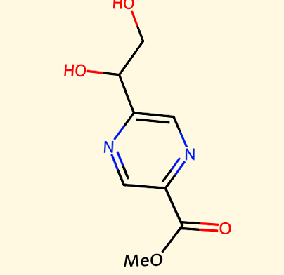 COC(=O)c1cnc(C(O)CO)cn1